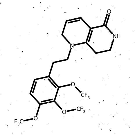 O=C1NCCC2=C1C=CCN2CCc1ccc(OC(F)(F)F)c(OC(F)(F)F)c1OC(F)(F)F